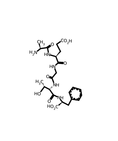 C[C@H](N)C(=O)N[C@@H](CCC(=O)O)C(=O)NCC(=O)N[C@H](C(=O)N[C@@H](Cc1ccccc1)C(=O)O)[C@@H](C)O